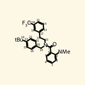 CNc1ccccc1C(=O)N(CCc1cccc(C(F)(F)F)c1)Cc1ccc(C(C)(C)C)cc1